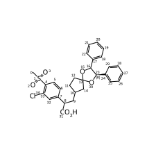 CS(=O)(=O)c1ccc(C(CC2CCC3(C2)OC(c2ccccc2)[C@@H](c2ccccc2)O3)C(=O)O)cc1Cl